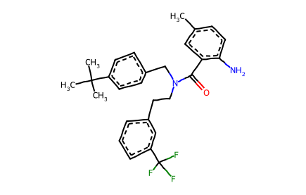 Cc1ccc(N)c(C(=O)N(CCc2cccc(C(F)(F)F)c2)Cc2ccc(C(C)(C)C)cc2)c1